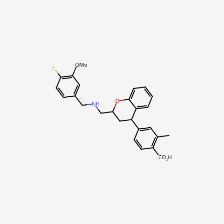 COc1cc(CNCC2CC(c3ccc(C(=O)O)c(C)c3)c3ccccc3O2)ccc1F